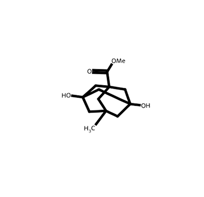 COC(=O)C12CC3(C)CC(O)(CC(O)(C3)C1)C2